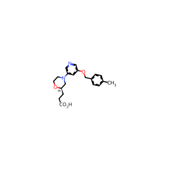 Cc1ccc(COc2cncc(N3CCO[C@H](CCC(=O)O)C3)c2)cc1